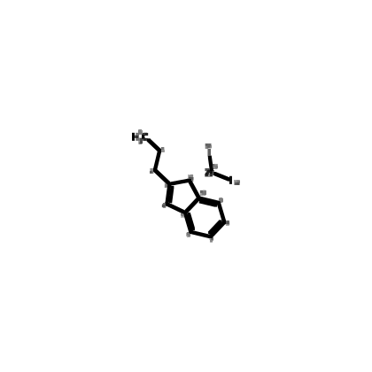 CCCC1=Cc2ccccc2[CH]1.[I][Zr][I]